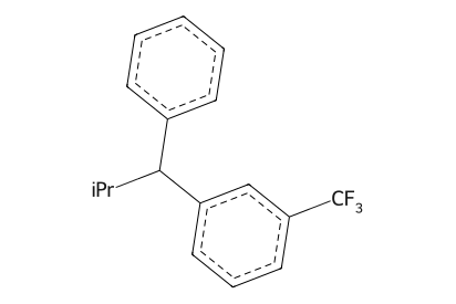 [CH2]C(C)C(c1ccccc1)c1cccc(C(F)(F)F)c1